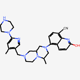 Cc1cc(N2CCNCC2)ncc1CN1CCN2C(C)CN(c3ccc(C#N)c4nc(O)ccc34)CC2C1